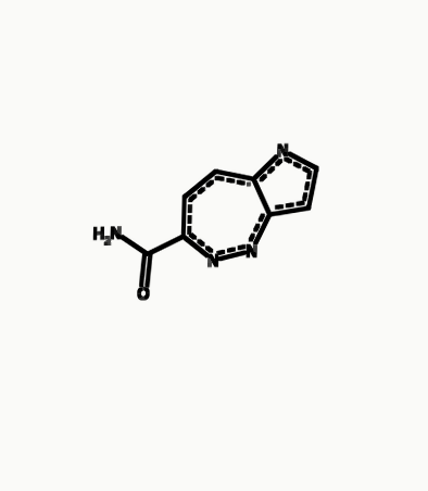 NC(=O)c1ccc2nccc-2nn1